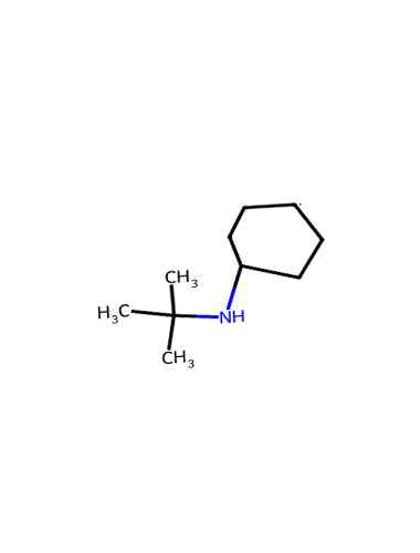 CC(C)(C)NC1CC[CH]CC1